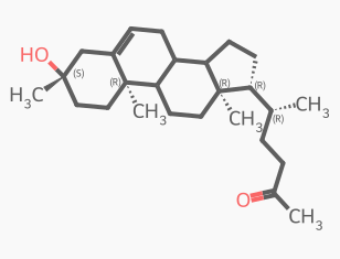 CC(=O)CC[C@@H](C)[C@H]1CCC2C3CC=C4C[C@@](C)(O)CC[C@]4(C)C3CC[C@@]21C